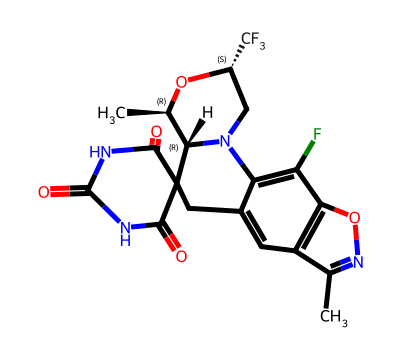 Cc1noc2c(F)c3c(cc12)CC1(C(=O)NC(=O)NC1=O)[C@@H]1[C@@H](C)O[C@H](C(F)(F)F)CN31